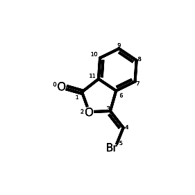 O=C1OC(=CBr)c2ccccc21